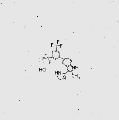 Cc1[nH]c2ccc(-c3cc(C(F)(F)F)cc(C(F)(F)F)c3)cc2c1C1=NCCN1.Cl